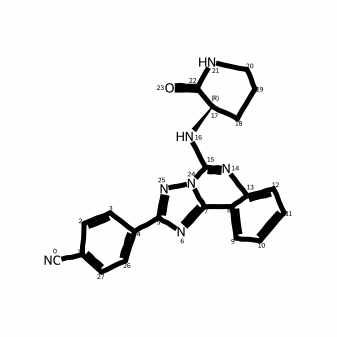 N#Cc1ccc(-c2nc3c4ccccc4nc(N[C@@H]4CCCNC4=O)n3n2)cc1